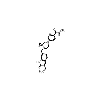 CCc1cc2ncc(CN3CCN(c4ccc(C(=O)NC)nc4)CC34CC4)cc2[nH]c1=O